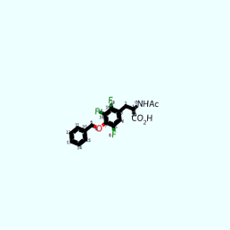 CC(=O)NC(Cc1cc(F)c(OCc2ccccc2)c(F)c1F)C(=O)O